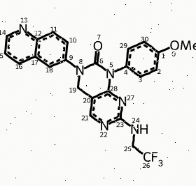 COc1ccc(N2C(=O)N(c3ccc4ncccc4c3)Cc3cnc(NCC(F)(F)F)nc32)cc1